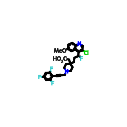 COc1ccc2ncc(Cl)c([C@@H](F)CCC3(CC(=O)O)CCN(CC#Cc4c(F)cc(F)cc4F)CC3)c2c1